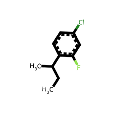 CC[C](C)c1ccc(Cl)cc1F